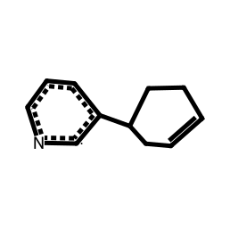 [c]1ncccc1C1CC=CCC1